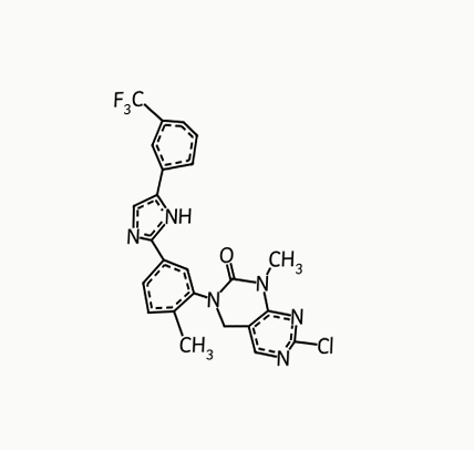 Cc1ccc(-c2ncc(-c3cccc(C(F)(F)F)c3)[nH]2)cc1N1Cc2cnc(Cl)nc2N(C)C1=O